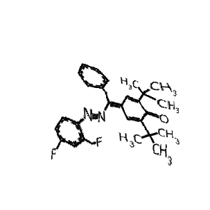 CC(C)(C)C1=CC(=C(N=Nc2ccc(F)cc2F)c2ccccc2)C=C(C(C)(C)C)C1=O